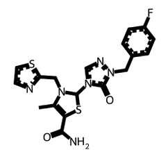 CC1=C(C(N)=O)SC(n2cnn(Cc3ccc(F)cc3)c2=O)N1Cc1nccs1